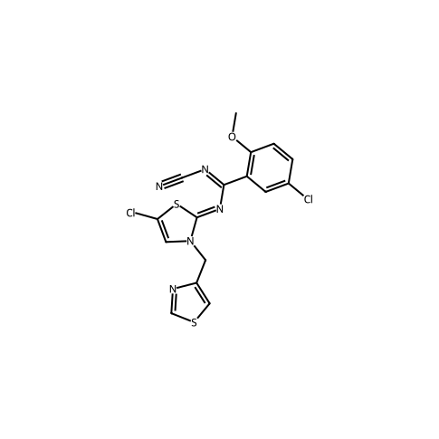 COc1ccc(Cl)cc1C(=NC#N)/N=c1\sc(Cl)cn1Cc1cscn1